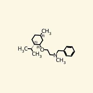 CC(C)[C@@H]1CC[C@@H](C)C[C@H]1OCCN(C)Cc1ccccc1